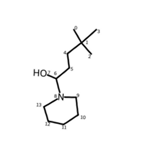 CC(C)(C)CCC(O)N1CCCCC1